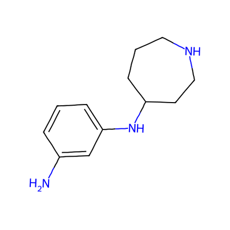 Nc1cccc(NC2CCCNCC2)c1